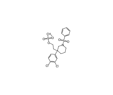 CS(=O)(=O)OCCC1(c2ccc(Cl)c(Cl)c2)CCCN(S(=O)(=O)c2ccccc2)C1